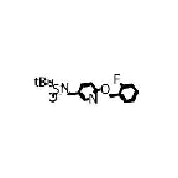 CC(C)(C)[S@@+]([O-])N=Cc1ccc(OCc2ccccc2F)nc1